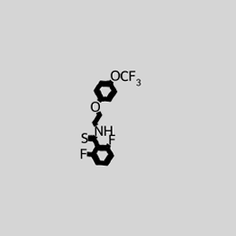 Fc1cccc(F)c1C(=S)NCCOc1ccc(OC(F)(F)F)cc1